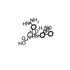 N=C(N)c1cccc(N2CCN(CC(=O)O)CC2C(=O)Nc2ccc(-c3ccccc3S(N)(=O)=O)cc2)c1